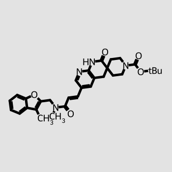 Cc1c(CN(C)C(=O)/C=C/c2cnc3c(c2)CC2(CCN(C(=O)OC(C)(C)C)CC2)C(=O)N3)oc2ccccc12